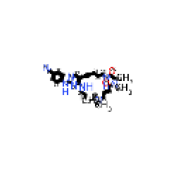 CCCNc1nc(Nc2ccc(C#N)cc2)ncc1C#CCCCNC(=O)[C@H](C)N(C)C(=O)C=CCN(C)C